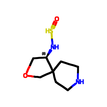 O=[SH]N[C@@H]1COCC12CCNCC2